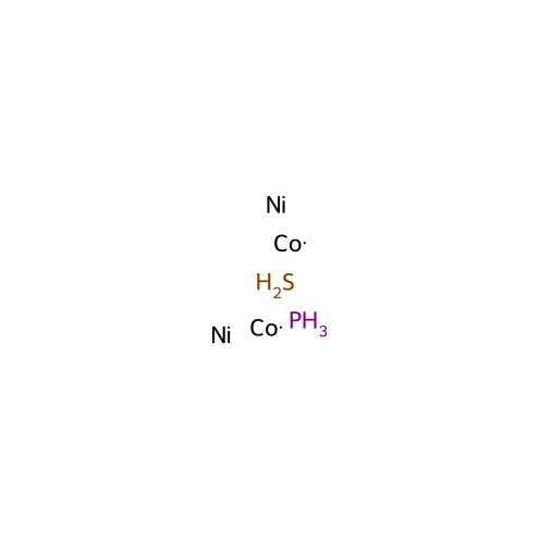 P.S.[Co].[Co].[Ni].[Ni]